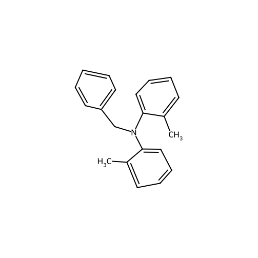 Cc1ccccc1N(Cc1ccccc1)c1ccccc1C